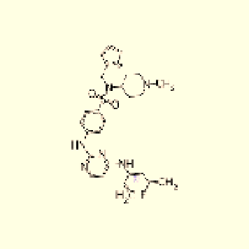 C=C/C(=C\C(=C)F)Nc1ccnc(Nc2ccc(S(=O)(=O)N(Cc3cccs3)C3CCN(C)CC3)cc2)n1